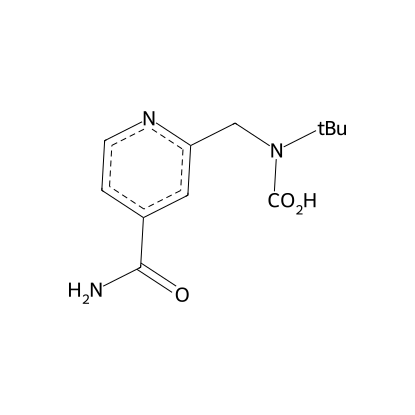 CC(C)(C)N(Cc1cc(C(N)=O)ccn1)C(=O)O